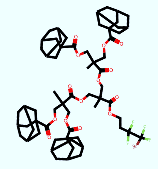 CC(COC(=O)C(C)(COC(=O)C12CC3CC(CC(C3)C1)C2)COC(=O)C12CC3CC(CC(C3)C1)C2)(COC(=O)C(C)(COC(=O)C12CC3CC(CC(C3)C1)C2)COC(=O)C12CC3CC(CC(C3)C1)C2)C(=O)OCCC(F)(F)C(F)(F)Br